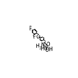 NC(Cc1ccc(OCc2ccc(F)cc2F)cc1)C(=O)NO